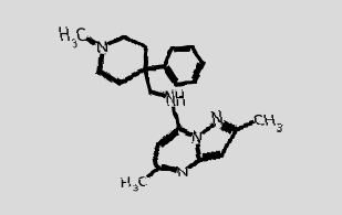 Cc1cc(NCC2(c3ccccc3)CCN(C)CC2)n2nc(C)cc2n1